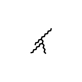 CCCCCCCC(CCCC)CC(CCCCC)CCCCCCC